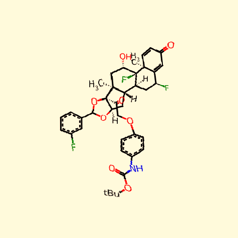 CC(C)(C)OC(=O)Nc1ccc(OCC(=O)[C@@]23OC(c4cccc(F)c4)O[C@@H]2C[C@H]2[C@@H]4C[C@H](F)C5=CC(=O)C=C[C@]5(C)[C@@]4(F)[C@@H](O)C[C@@]23C)cc1